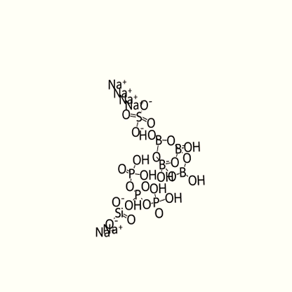 O=P(O)(O)OP(=O)(O)OP(=O)(O)O.O=S(=O)([O-])[O-].O=[Si]([O-])[O-].OB1O[B-]2(O)OB(O)O[B-](O)(O1)O2.[Na+].[Na+].[Na+].[Na+].[Na+].[Na+]